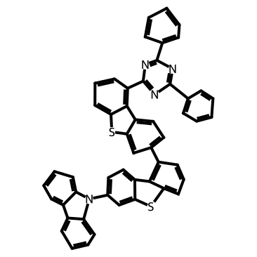 c1ccc(-c2nc(-c3ccccc3)nc(-c3cccc4sc5cc(-c6cccc7sc8cc(-n9c%10ccccc%10c%10ccccc%109)ccc8c67)ccc5c34)n2)cc1